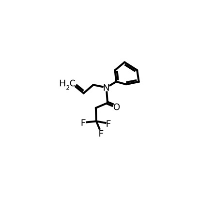 C=CCN(C(=O)CC(F)(F)F)c1ccccc1